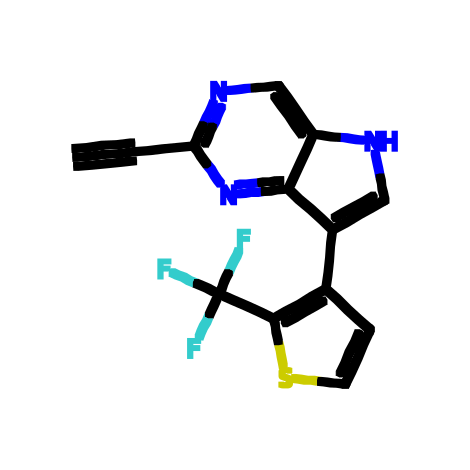 C#Cc1ncc2[nH]cc(-c3ccsc3C(F)(F)F)c2n1